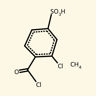 C.O=C(Cl)c1ccc(S(=O)(=O)O)cc1Cl